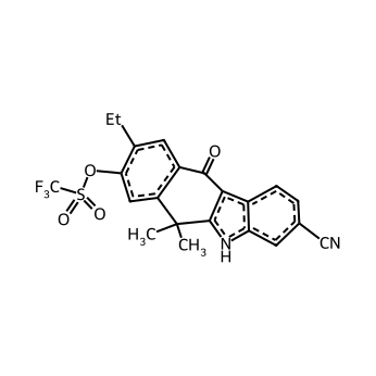 CCc1cc2c(cc1OS(=O)(=O)C(F)(F)F)C(C)(C)c1[nH]c3cc(C#N)ccc3c1C2=O